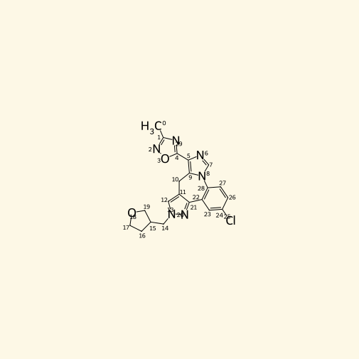 Cc1noc(-c2ncn3c2Cc2cn(CC4CCOC4)nc2-c2cc(Cl)ccc2-3)n1